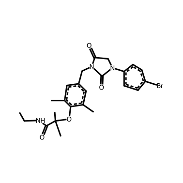 CCNC(=O)C(C)(C)Oc1c(C)cc(CN2C(=O)CN(c3ccc(Br)cc3)C2=O)cc1C